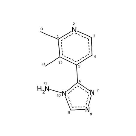 Cc1nccc(-c2nncn2N)c1C